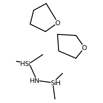 C1CCOC1.C1CCOC1.C[SiH](C)N[SiH](C)C